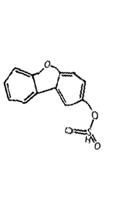 O=[SH](=O)Oc1ccc2oc3ccccc3c2c1